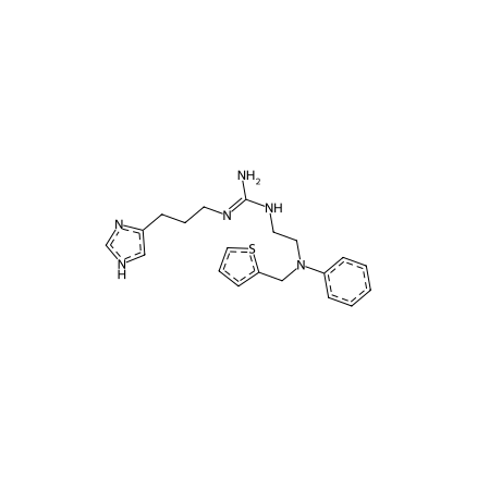 NC(=NCCCc1c[nH]cn1)NCCN(Cc1cccs1)c1ccccc1